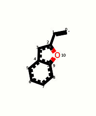 [CH]=Cc1cc2ccccc2o1